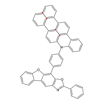 c1ccc(-c2ccc(-c3ccccc3N(c3ccc(-c4ccccc4)cc3)c3ccc(-c4c5oc(-c6ccccc6)nc5cc5c4oc4ccccc45)cc3)cc2)cc1